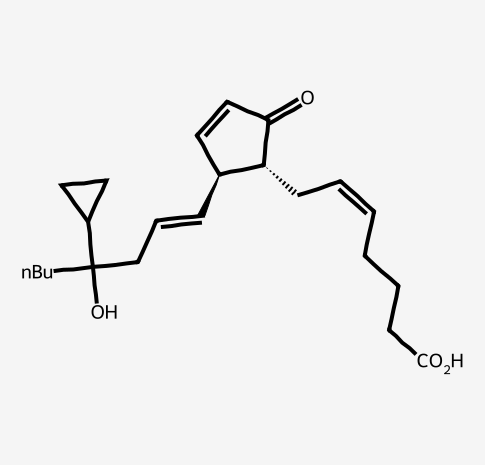 CCCCC(O)(CC=C[C@H]1C=CC(=O)[C@@H]1C/C=C\CCCC(=O)O)C1CC1